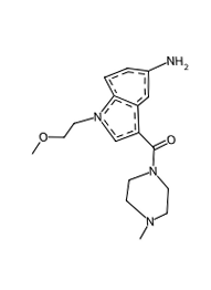 COCCn1cc(C(=O)N2CCN(C)CC2)c2cc(N)ccc21